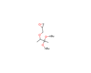 CCCCO[Si](C)(OCCCC)C(C)OCC1CO1